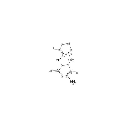 Cc1cccc(Nc2cc(F)cc(N)c2C)c1F